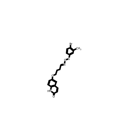 Cc1cc(SON=CCCCOc2ccc3[nH]c(=O)ccc3c2)ccc1Br